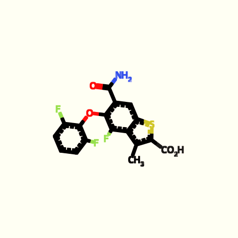 Cc1c(C(=O)O)sc2cc(C(N)=O)c(Oc3c(F)cccc3F)c(F)c12